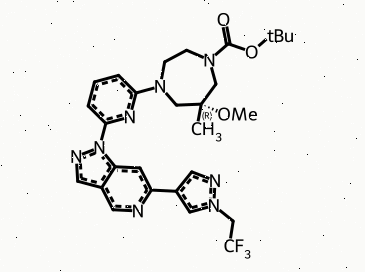 CO[C@@]1(C)CN(C(=O)OC(C)(C)C)CCN(c2cccc(-n3ncc4cnc(-c5cnn(CC(F)(F)F)c5)cc43)n2)C1